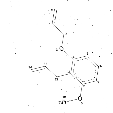 C=CCOc1cccc(OCCC)c1CC=C